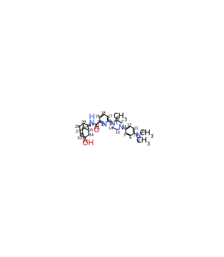 C[C@@H]1CN(c2ccc(N(C)C)cc2)CCN1c1cccc(C(=O)NC2C3CC4CC2CC(O)(C4)C3)n1